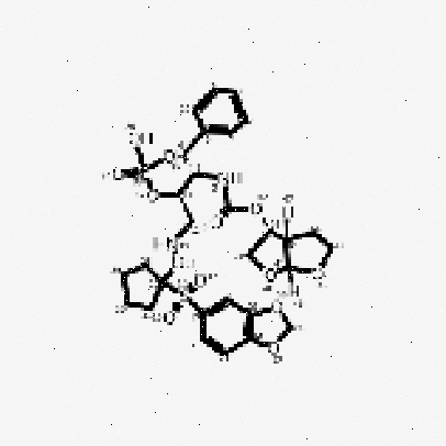 O=C(N[C@@H](Cc1ccccc1)[C@@H](CNOC1(S(=O)(=O)c2ccc3c(c2)OCO3)CCCC1)OP(=O)(O)O)O[C@H]1CO[C@H]2OCC[C@H]21